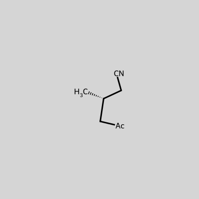 CC(=O)C[C@H](C)CC#N